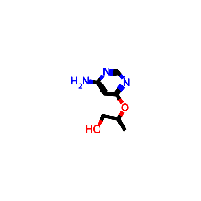 CC(CO)Oc1cc(N)ncn1